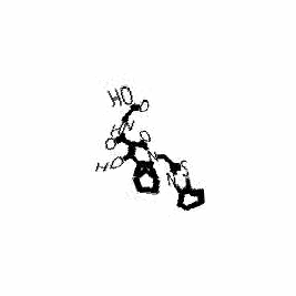 O=C(O)CNC(=O)c1c(O)c2c(n(Cc3nc4ccccc4s3)c1=O)C1CCC2C1